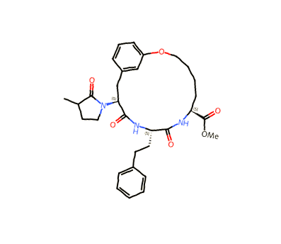 COC(=O)[C@@H]1CCCCOc2cccc(c2)C[C@H](N2CCC(C)C2=O)C(=O)N[C@@H](CCc2ccccc2)C(=O)N1